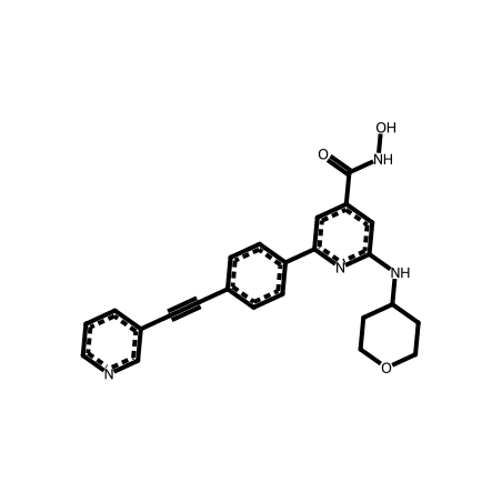 O=C(NO)c1cc(NC2CCOCC2)nc(-c2ccc(C#Cc3cccnc3)cc2)c1